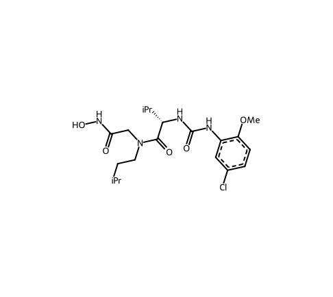 COc1ccc(Cl)cc1NC(=O)N[C@H](C(=O)N(CCC(C)C)CC(=O)NO)C(C)C